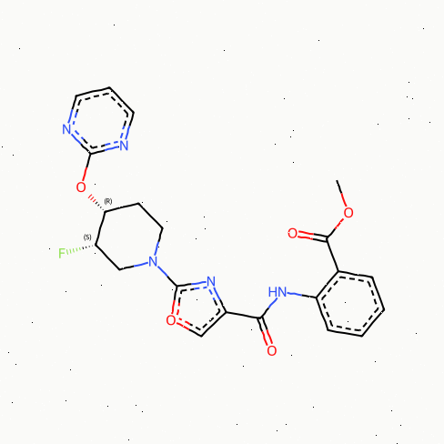 COC(=O)c1ccccc1NC(=O)c1coc(N2CC[C@@H](Oc3ncccn3)[C@@H](F)C2)n1